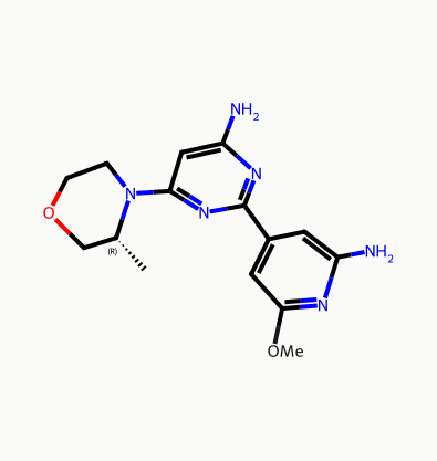 COc1cc(-c2nc(N)cc(N3CCOC[C@H]3C)n2)cc(N)n1